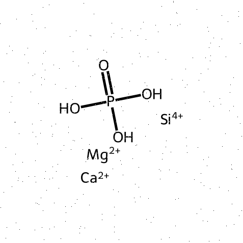 O=P(O)(O)O.[Ca+2].[Mg+2].[Si+4]